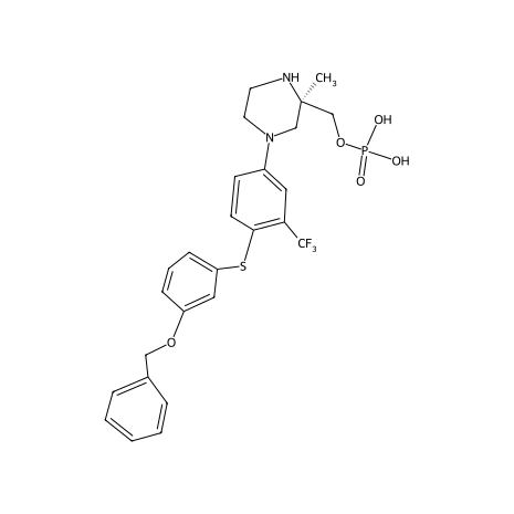 C[C@]1(COP(=O)(O)O)CN(c2ccc(Sc3cccc(OCc4ccccc4)c3)c(C(F)(F)F)c2)CCN1